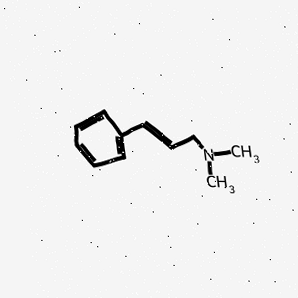 CN(C)CC=Cc1ccccc1